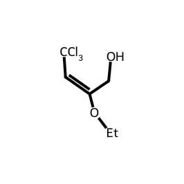 CCOC(=CC(Cl)(Cl)Cl)CO